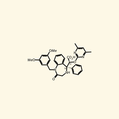 COc1cc(CN2C(=O)CN[C@](c3ccccc3)([C@H](Oc3nc(C)cc(C)n3)C(=O)O)c3ccccc32)cc(OC)c1